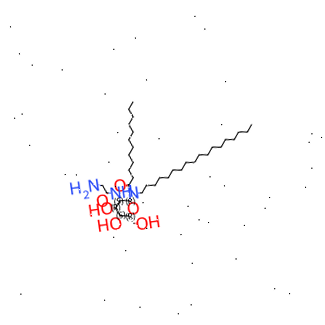 CCCCCCCCCCCCCCCCCCN(C(=O)CCCCCCCCCCC)[C@@H]1O[C@H](CO)[C@@H](O)[C@H](O)[C@@H]1NC(=O)CN